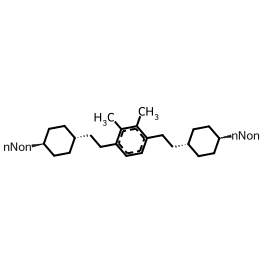 CCCCCCCCC[C@H]1CC[C@H](CCc2ccc(CC[C@H]3CC[C@H](CCCCCCCCC)CC3)c(C)c2C)CC1